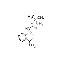 C=C1CC[C@H](NC(=O)OC(C)(C)C)c2ccccc21